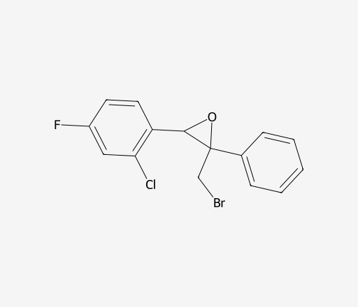 Fc1ccc(C2OC2(CBr)c2ccccc2)c(Cl)c1